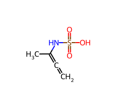 C=C=C(C)NS(=O)(=O)O